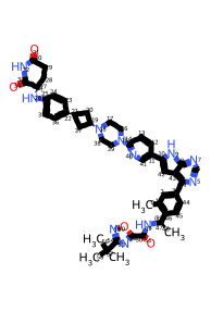 Cc1cc(-c2ncnc3[nH]c(-c4ccc(N5CCN([C@H]6C[C@@H](c7ccc(N[C@H]8CCC(=O)NC8=O)cc7)C6)CC5)nc4)cc23)ccc1[C@@H](C)NC(=O)c1nc(C(C)(C)C)no1